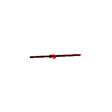 CCCCCCCCCCCCCCCCCCCCCCCCCCCCCCCC(=O)OCCCCCCCCCCCCCCCCCCCCCCCCCCCC